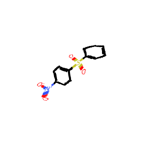 O=[N+]([O-])C1=CC=C(S(=O)(=O)C2=CC=CCC2)CC1